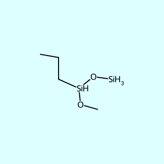 CCC[SiH](OC)O[SiH3]